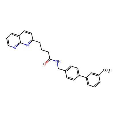 O=C(CCCc1ccc2cccnc2n1)NCc1ccc(-c2cccc(C(=O)O)c2)cc1